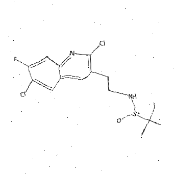 CC(C)(C)[S+]([O-])NCCc1cc2cc(Cl)c(F)cc2nc1Cl